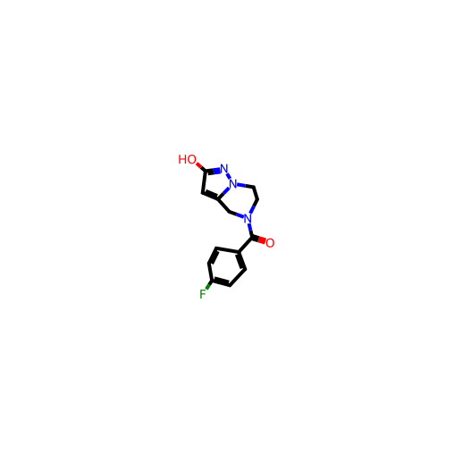 O=C(c1ccc(F)cc1)N1CCn2nc(O)cc2C1